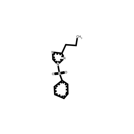 CCCc1ncn(S(=O)(=O)c2ccccc2)n1